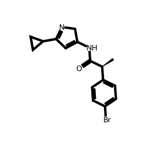 C[C@H](C(=O)NC1=CC(C2CC2)=NC1)c1ccc(Br)cc1